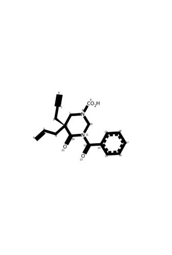 C#CC[C@@]1(CC=C)CN(C(=O)O)CN(C(=O)c2ccccc2)C1=O